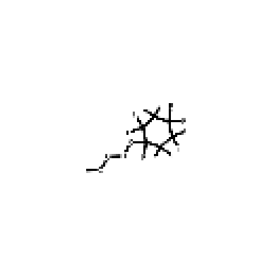 COOOSC1(F)C(F)(F)C(F)(F)C(F)(F)C(F)(F)C1(F)F